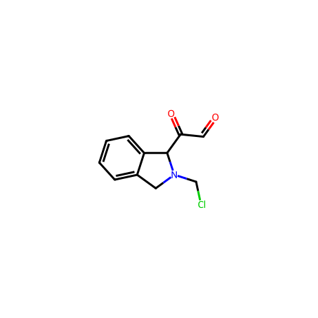 O=CC(=O)C1c2ccccc2CN1CCl